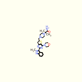 Cn1nc2ccccc2c1-c1nc2c(c(N3CCOCC3)n1)SC(CN1CCN(C(C)(C)C(N)=O)CC1)C2